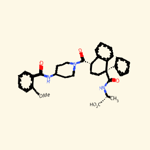 COc1ccccc1C(=O)NC1CCN(C(=O)[C@H]2CC[C@@](C(=O)N[C@H](C)C(=O)O)(c3ccccc3)c3ccccc32)CC1